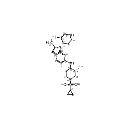 Cc1cc2cnc(N[C@@H]3CCN(S(=O)(=O)C4CC4)C[C@H]3F)nc2n1[C@H]1CCNC[C@@H]1F